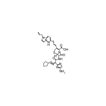 C=CCN1C=CN2NC(S/C=C/C3=C(C(=O)O)N4C(=O)[C@@H](NC(=O)/C(=N\OC5CCCC5)c5nsc(N)n5)[C@@H]4SC3)=CC=C12